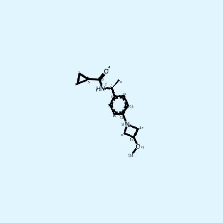 C[C@H](NC(=O)C1CC1)c1ccc(N2CC(OI)C2)cc1